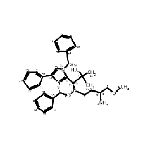 COC[C@@H](N)CCN(OCc1ccccc1)[C@@H](c1nc(-c2ccccc2)cn1Cc1ccccc1)C(C)(C)C